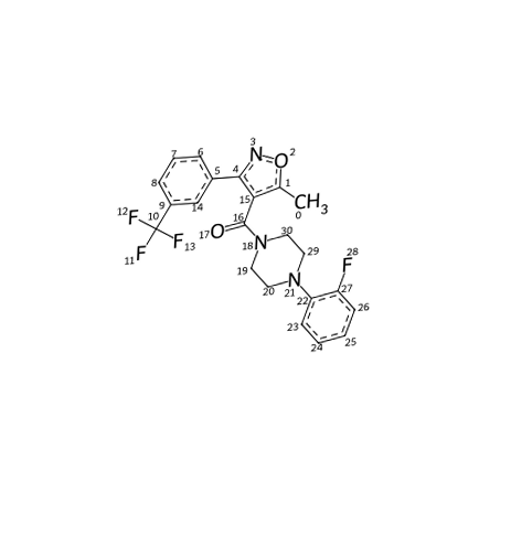 Cc1onc(-c2cccc(C(F)(F)F)c2)c1C(=O)N1CCN(c2ccccc2F)CC1